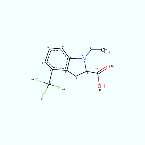 CCN1c2cccc(C(F)(F)F)c2CC1C(=O)O